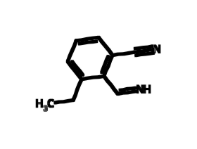 CCc1cccc(C#N)c1C=N